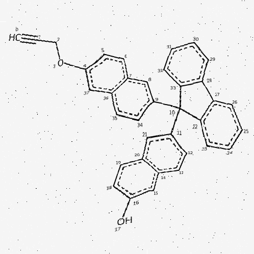 C#CCOc1ccc2cc(C3(c4ccc5cc(O)ccc5c4)c4ccccc4-c4ccccc43)ccc2c1